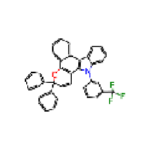 FC(F)(F)c1cccc(-n2c3ccccc3c3c4ccccc4c4c(c32)C=CC(c2ccccc2)(c2ccccc2)O4)c1